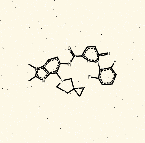 Cc1nc2c(N3CCC4(CC4)C3)c(NC(=O)c3ccc(=O)n(-c4c(F)cccc4F)n3)ccc2n1C